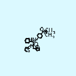 CN(C)C(=O)c1ccc(CN[C@H](C(=O)N(Cc2ccco2)Cc2cccs2)c2ccccc2)cc1